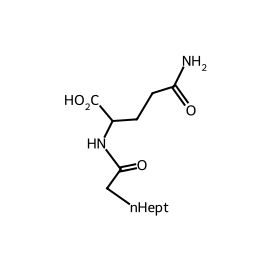 CCCCCCCCC(=O)NC(CCC(N)=O)C(=O)O